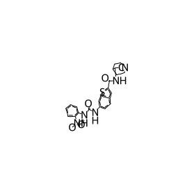 O=C(Nc1ccc2cc(C(=O)NC3CN4CCC3CC4)sc2c1)Nc1ccccc1[N+](=O)[O-]